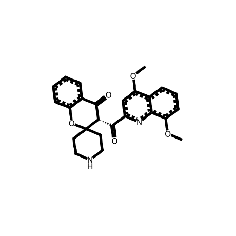 COc1cc(C(=O)[C@H]2C(=O)c3ccccc3OC23CCNCC3)nc2c(OC)cccc12